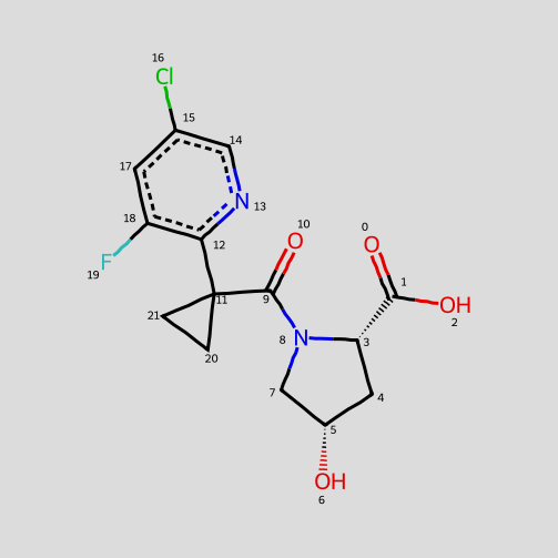 O=C(O)[C@@H]1C[C@H](O)CN1C(=O)C1(c2ncc(Cl)cc2F)CC1